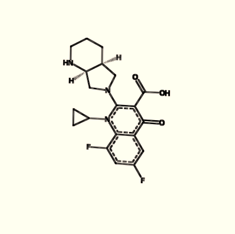 O=C(O)c1c(N2C[C@@H]3CCCN[C@@H]3C2)n(C2CC2)c2c(F)cc(F)cc2c1=O